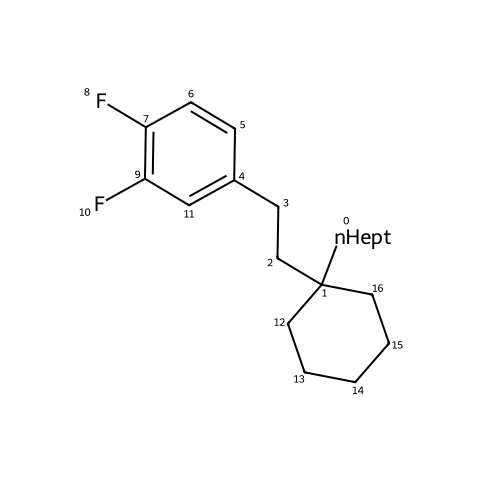 CCCCCCCC1(CCc2ccc(F)c(F)c2)CCCCC1